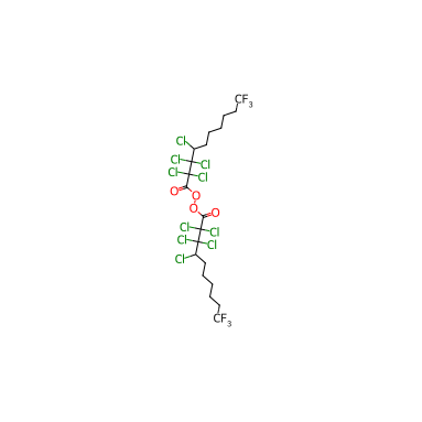 O=C(OOC(=O)C(Cl)(Cl)C(Cl)(Cl)C(Cl)CCCCCC(F)(F)F)C(Cl)(Cl)C(Cl)(Cl)C(Cl)CCCCCC(F)(F)F